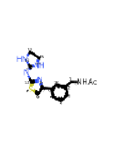 CC(=O)NCc1cccc(-c2csc(N=C3NCCN3)n2)c1